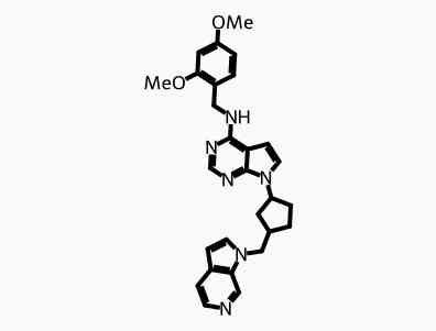 COc1ccc(CNc2ncnc3c2ccn3C2CCC(Cn3ccc4ccncc43)C2)c(OC)c1